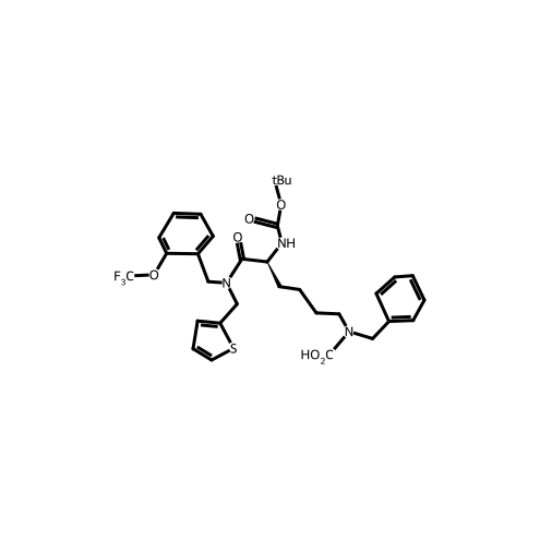 CC(C)(C)OC(=O)N[C@@H](CCCCN(Cc1ccccc1)C(=O)O)C(=O)N(Cc1cccs1)Cc1ccccc1OC(F)(F)F